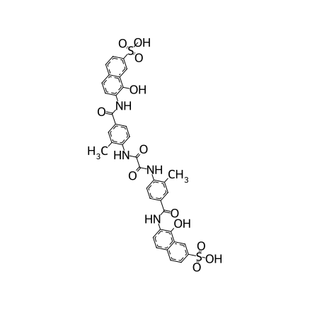 Cc1cc(C(=O)Nc2ccc3ccc(S(=O)(=O)O)cc3c2O)ccc1NC(=O)C(=O)Nc1ccc(C(=O)Nc2ccc3ccc(S(=O)(=O)O)cc3c2O)cc1C